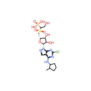 CC1CCCC1Nc1nc(Cl)nc2c1cnn2[C@@H]1O[C@H](CS(=O)(=O)C(CO)P(=O)(O)O)[C@@H](O)[C@H]1O